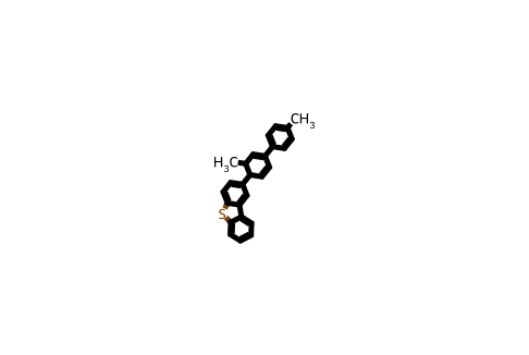 Cc1ccc(C2=CC(C)C(c3ccc4sc5ccccc5c4c3)C=C2)cc1